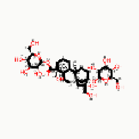 C[C@@]12CCC[C@@](CO)(C(=O)O[C@@H]3O[C@H](CO)[C@@H](O)[C@H](O)[C@H]3O)[C@H]1CC[C@]13C[C@](O)(CO)[C@](O[C@@H]4O[C@H](CO)[C@@H](O)[C@H](O)[C@H]4O)(CC[C@H]12)C3